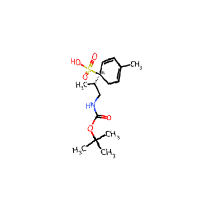 CC1=CC[C@@](C(C)CNC(=O)OC(C)(C)C)(S(=O)(=O)O)C=C1